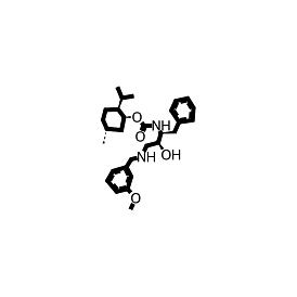 COc1cccc(CNC[C@H](O)[C@H](Cc2ccccc2)NC(=O)O[C@@H]2C[C@H](C)CC[C@H]2C(C)C)c1